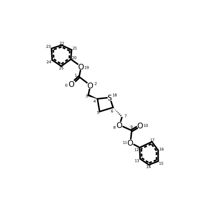 O=C(OC[C@@H]1C[C@@H](COC(=O)Oc2ccccc2)S1)Oc1ccccc1